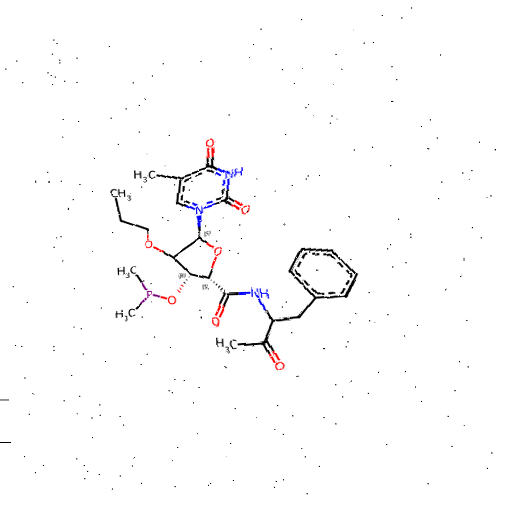 CCCOC1[C@@H](OP(C)C)[C@@H](C(=O)NC(Cc2ccccc2)C(C)=O)O[C@@H]1n1cc(C)c(=O)[nH]c1=O